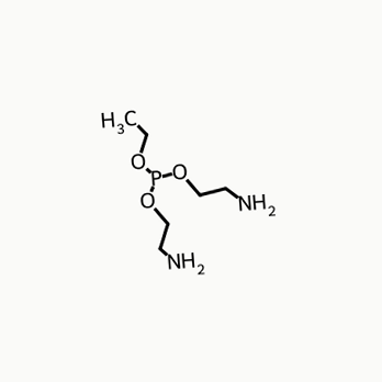 CCOP(OCCN)OCCN